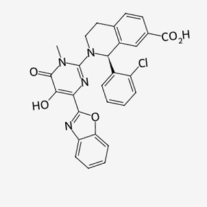 Cn1c(N2CCc3ccc(C(=O)O)cc3[C@H]2c2ccccc2Cl)nc(-c2nc3ccccc3o2)c(O)c1=O